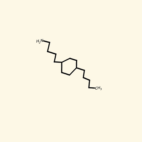 CCCCCC1CCC(CCCCN)CC1